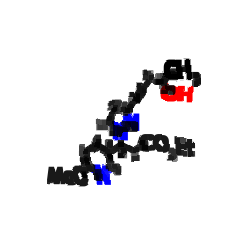 CCOC(=O)CC(c1ccc(OC)nc1)n1ccc(C#CCC(C)O)n1